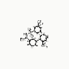 CCC(NS(=O)(=O)c1cccc(C(F)(F)F)c1)c1cccc(-c2ccncc2C)c1